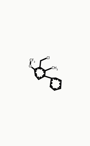 Cc1c(-c2ccccc2)ccc(OC(F)(F)F)c1CCl